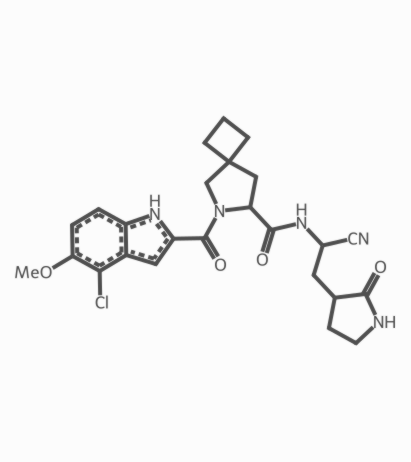 COc1ccc2[nH]c(C(=O)N3CC4(CCC4)CC3C(=O)NC(C#N)CC3CCNC3=O)cc2c1Cl